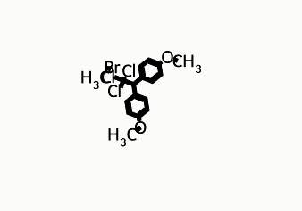 CBr.COc1ccc(C(c2ccc(OC)cc2)C(Cl)(Cl)Cl)cc1